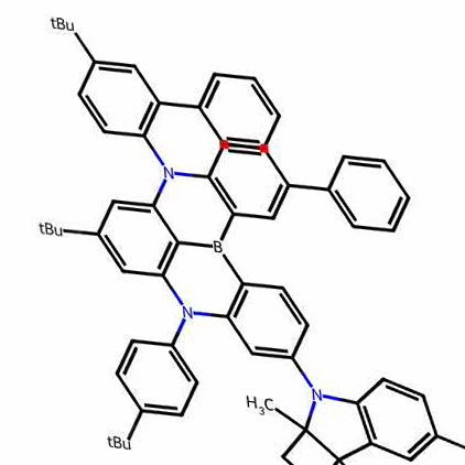 CC(C)(C)c1ccc(N2c3cc(N4c5ccc(C(C)(C)C)cc5C5(C)CCC45C)ccc3B3c4cc(-c5ccccc5)ccc4N(c4ccc(C(C)(C)C)cc4-c4ccccc4)c4cc(C(C)(C)C)cc2c43)cc1